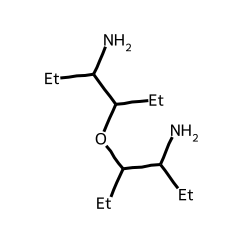 CCC(N)C(CC)OC(CC)C(N)CC